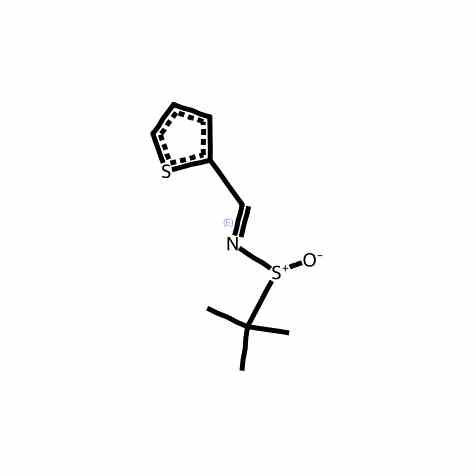 CC(C)(C)[S+]([O-])/N=C/c1cccs1